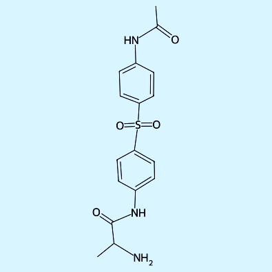 CC(=O)Nc1ccc(S(=O)(=O)c2ccc(NC(=O)C(C)N)cc2)cc1